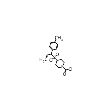 C=CC(c1ccc(C)cc1)S(=O)(=O)C1CCN(C(=O)Cl)CC1